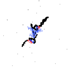 CCCCCCCCON1C(C)(C)CC(C(CCC)Nc2nc(NN)nc(NC(CCC)C3CC(C)(C)N(OCCCCCCCC)C(C)(C)C3)n2)CC1(C)C